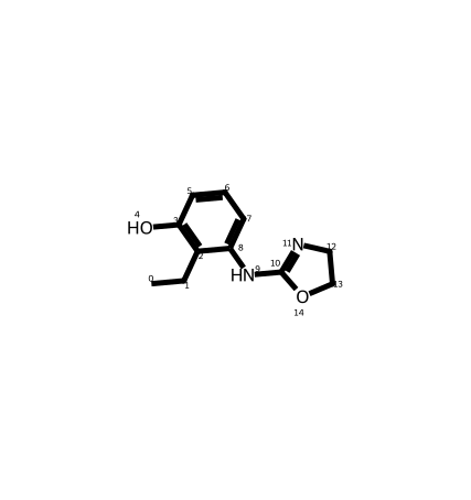 CCc1c(O)cccc1NC1=NCCO1